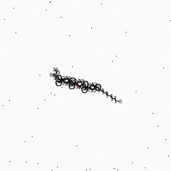 CCCCCCCCCCOc1ccc(C(=O)Oc2ccc(C(=O)Oc3ccc(C(=O)OCC(C)CC)cc3)cc2)cc1